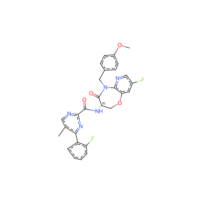 COc1ccc(CN2C(=O)[C@@H](NC(=O)c3ncc(C)c(-c4ccccc4F)n3)COc3cc(F)cnc32)cc1